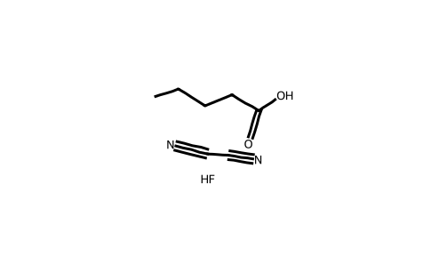 CCCCC(=O)O.F.N#CC#N